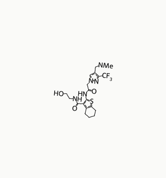 CNCc1cn(CC(=O)Nc2sc3c(c2C(=O)NCCO)CCCC3)nc1C(F)(F)F